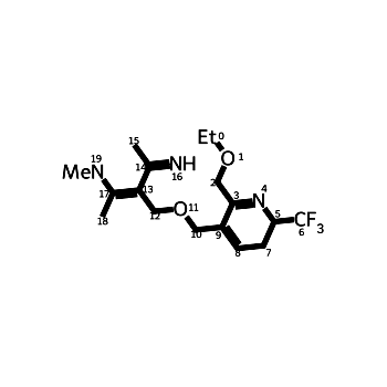 CCOCC1=NC(C(F)(F)F)CC=C1COC/C(C(C)=N)=C(\C)NC